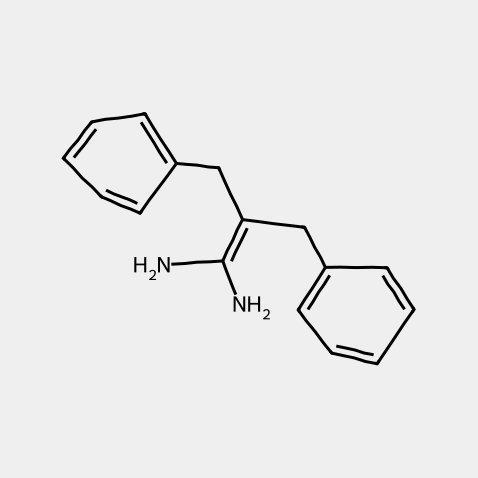 NC(N)=C(Cc1ccccc1)Cc1ccccc1